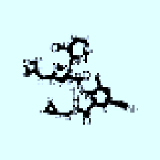 Cc1cc(C#N)cc(C(=O)NCC2CC2)c1NC(=O)c1cc(CC2CSC2)nn1-c1ncccc1Cl